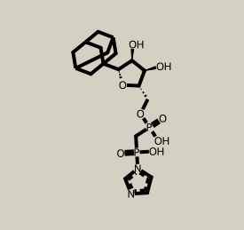 O=P(O)(CP(=O)(O)n1ccnc1)OC[C@@H]1O[C@H](C23CC4CC(CC(C4)C2)C3)[C@@H](O)[C@H]1O